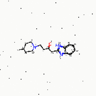 CC1CCN(CCC(=O)Cc2nc3ccccc3[nH]2)CC1